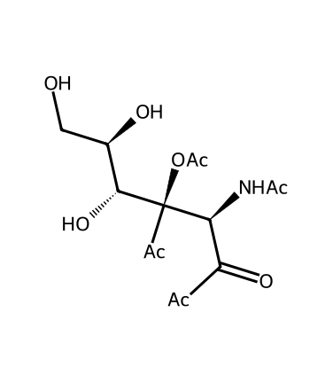 CC(=O)N[C@@H](C(=O)C(C)=O)[C@](OC(C)=O)(C(C)=O)[C@H](O)[C@H](O)CO